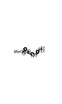 CCC(CC)Sc1ccc(Oc2ccc(CC(=O)Nc3ccccc3C(=O)OC)cn2)cc1